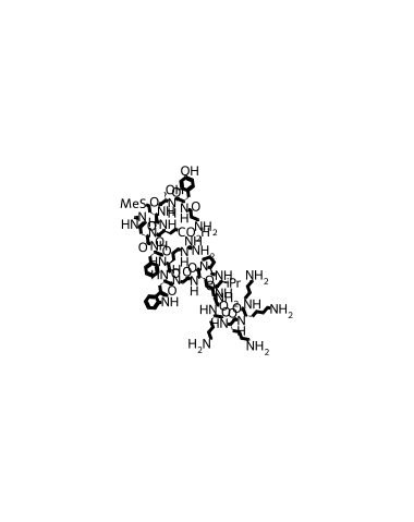 CSCC[C@H](NC(=O)[C@H](CO)NC(=O)[C@H](Cc1ccc(O)cc1)NC(=O)CCN)C(=O)N[C@@H](CCC(=O)O)C(=O)N[C@@H](Cc1cnc[nH]1)C(=O)N[C@@H](Cc1ccccc1)C(=O)N[C@@H](CCCNC(=N)N)C(=O)N[C@@H](Cc1c[nH]c2ccccc12)C(=O)NCC(=O)N[C@@H](CCCCN)C(=O)N1CCC[C@H]1C(=O)N[C@H](C(=O)NCC(=O)N[C@@H](CCCCN)C(=O)N[C@@H](CCCCN)C(=O)N[C@@H](CCCCN)C(=O)NCCCCN)C(C)C